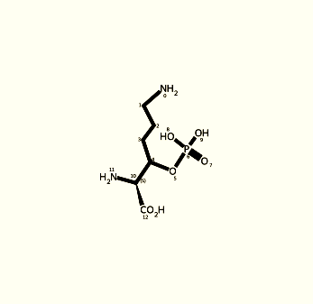 NCCCC(OP(=O)(O)O)[C@H](N)C(=O)O